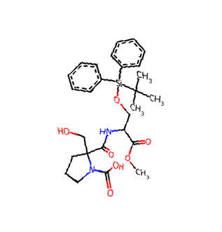 COC(=O)C(CO[Si](c1ccccc1)(c1ccccc1)C(C)(C)C)NC(=O)C1(CO)CCCN1C(=O)O